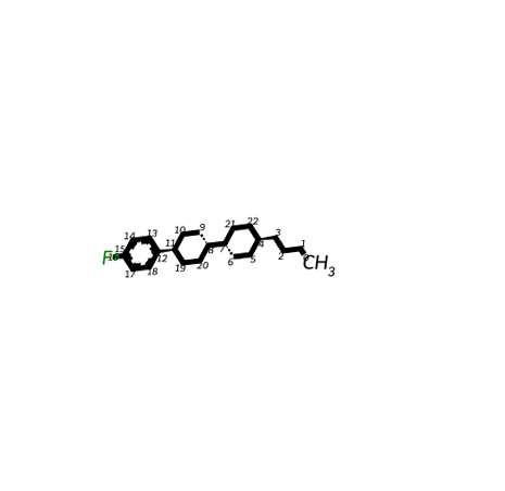 CCCC[C@H]1CC[C@H]([C@H]2CC[C@H](c3ccc(F)cc3)CC2)CC1